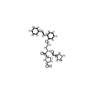 O=C([C@@H]1CC(O)CN1C(=O)CCCOc1ccccc1/C=C/c1ccccc1)N1CCSC1